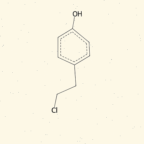 Oc1ccc(CCCl)cc1